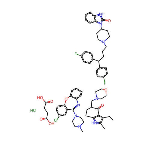 CCc1c(C)[nH]c2c1C(=O)C(CN1CCOCC1)CC2.CN1CCN(C2=Nc3ccccc3Oc3ccc(Cl)cc32)CC1.Cl.O=C(O)CCC(=O)O.O=c1[nH]c2ccccc2n1C1CCN(CCCC(c2ccc(F)cc2)c2ccc(F)cc2)CC1